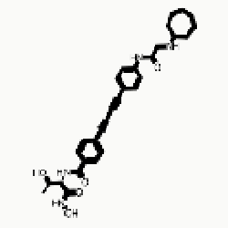 C[C@@H](O)[C@H](NC(=O)c1ccc(C#CC#Cc2ccc(NC(=O)CNC3CCCCCC3)cc2)cc1)C(=O)NO